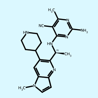 Cc1nc(N)nc(N[C@@H](C)c2nc3ccn(C)c3cc2C2CCNCC2)c1C#N